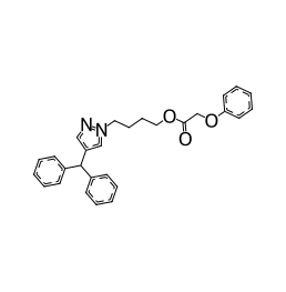 O=C(COc1ccccc1)OCCCCn1cc(C(c2ccccc2)c2ccccc2)cn1